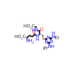 CCNc1nc(NC(C)C)nc(SC[C@H](NC(=O)CC[C@H](N)C(=O)O)C(=O)NCC(=O)O)n1